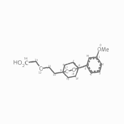 COc1cccc(C23CCC(CCOCC(=O)O)(CC2)CO3)c1